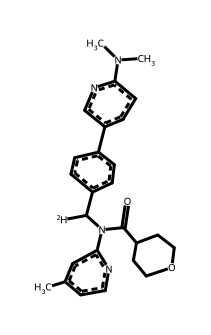 [2H]C(c1ccc(-c2ccc(N(C)C)nc2)cc1)N(C(=O)C1CCOCC1)c1cc(C)ccn1